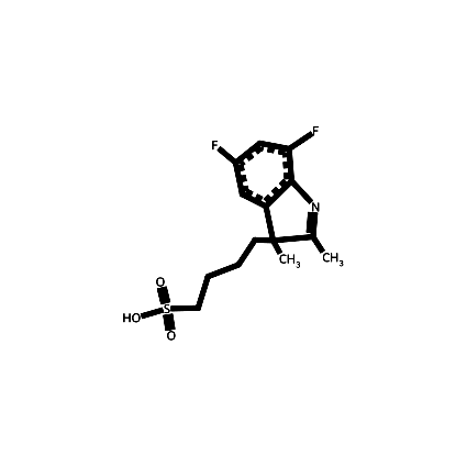 CC1=Nc2c(F)cc(F)cc2C1(C)CCCCS(=O)(=O)O